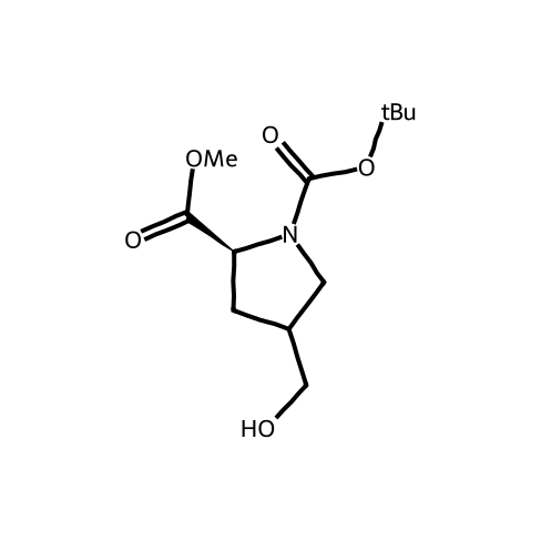 COC(=O)[C@@H]1CC(CO)CN1C(=O)OC(C)(C)C